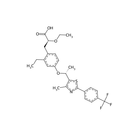 CCO[C@@H](Cc1ccc(O[C@H](C)c2sc(-c3ccc(C(F)(F)F)cc3)nc2C)cc1CC)C(=O)O